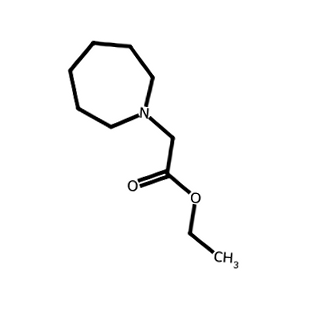 CCOC(=O)CN1CCCCCC1